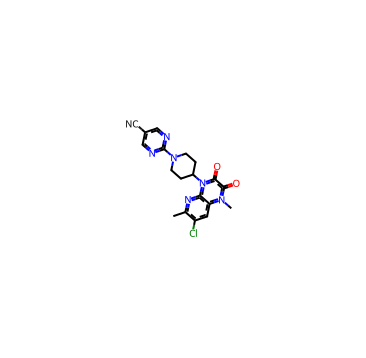 Cc1nc2c(cc1Cl)n(C)c(=O)c(=O)n2C1CCN(c2ncc(C#N)cn2)CC1